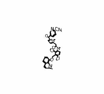 Cc1ccc2cccc(OCc3c(Cl)ccc(N(C)C(=O)Cc4ccc(C(=O)c5ccc(C#N)nc5)n4C)c3Cl)c2n1